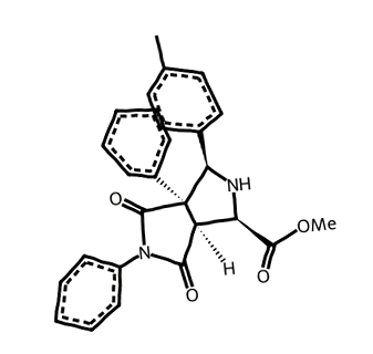 COC(=O)[C@@H]1N[C@H](c2ccc(C)cc2)[C@]2(c3ccccc3)C(=O)N(c3ccccc3)C(=O)[C@H]12